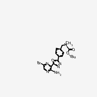 CN(Cc1ccc(-c2nnc(-c3nc(Br)cnc3N)o2)cc1)C(=O)OC(C)(C)C